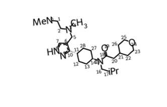 CNCCN(C)Cc1c[nH]nc1[C@H]1CC[C@H](N(CC(C)C)C(=O)CC2CCOCC2)CC1